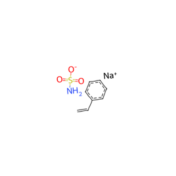 C=Cc1ccccc1.NS(=O)(=O)[O-].[Na+]